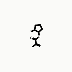 C=C(C)C(=O)OC1CC[CH]C1F